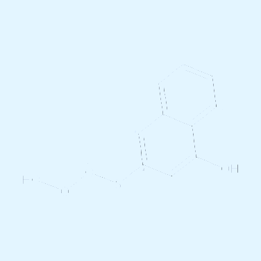 OOOSc1cc(O)c2ccccc2c1